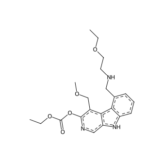 CCOCCNCc1cccc2[nH]c3cnc(OC(=O)OCC)c(COC)c3c12